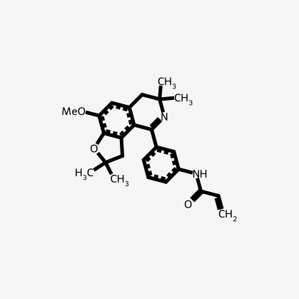 C=CC(=O)Nc1cccc(C2=NC(C)(C)Cc3cc(OC)c4c(c32)CC(C)(C)O4)c1